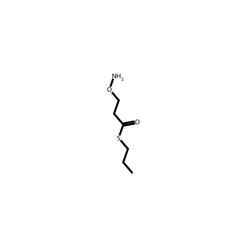 CCCSC(=O)CCON